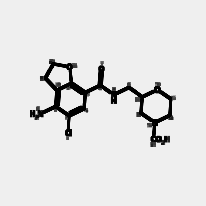 Nc1c(Cl)cc(C(=O)NCC2CN(C(=O)O)CCO2)c2c1CCO2